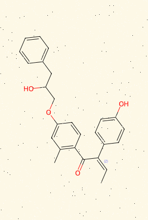 C/C=C(\C(=O)c1ccc(OCC(O)Cc2ccccc2)cc1C)c1ccc(O)cc1